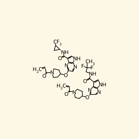 C=CC(=O)N1CCC(Oc2cnc3[nH]cc(C(=O)NCC(C)(F)F)c3n2)CC1.C=CC(=O)N1CCC(Oc2cnc3[nH]cc(C(=O)N[C@@H]4C[C@H]4C(F)(F)F)c3n2)CC1